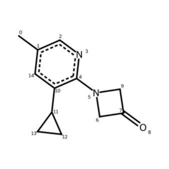 Cc1cnc(N2CC(=O)C2)c(C2CC2)c1